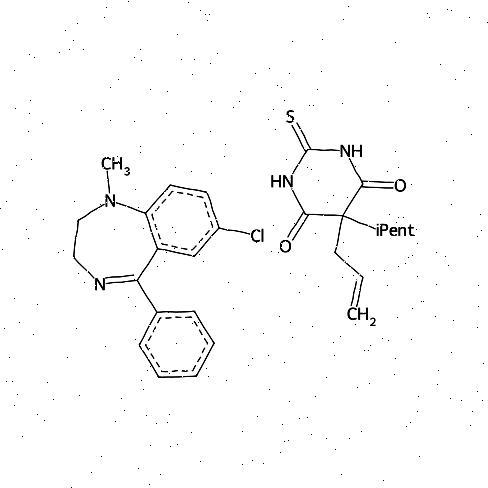 C=CCC1(C(C)CCC)C(=O)NC(=S)NC1=O.CN1CCN=C(c2ccccc2)c2cc(Cl)ccc21